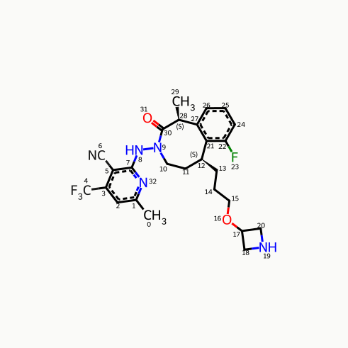 Cc1cc(C(F)(F)F)c(C#N)c(NN2CC[C@H](CCCOC3CNC3)c3c(F)cccc3[C@H](C)C2=O)n1